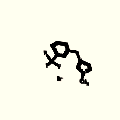 C[n+]1ccn(Cc2cccc(C(F)(F)F)c2)c1.[Br-]